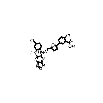 O=C(O)c1cc(-c2ccc(C=NNc3nc4nonc4nc3Nc3cccc(Cl)c3)o2)ccc1Cl